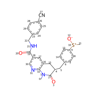 CN1C(=O)C(Cc2ccc([S+](C)[O-])cc2)Cc2cc(C(=O)NCc3ccc(C#N)cc3)cnc21